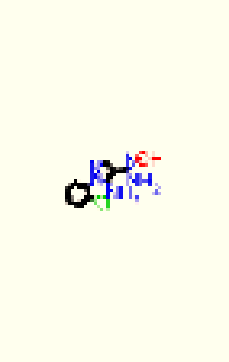 NC(=NO)c1cnn(-c2ccccc2Cl)c1N